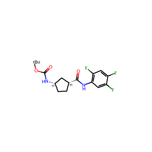 CC(C)(C)OC(=O)N[C@H]1CC[C@@H](C(=O)Nc2cc(F)c(F)cc2F)C1